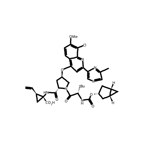 C=C[C@@H]1C[C@]1(NC(=O)[C@@H]1C[C@@H](Oc2cc(-c3cncc(C)n3)nc3c(Cl)c(OC)ccc23)CN1C(=O)[C@@H](NC(=O)O[C@@H]1C[C@@H]2C[C@@H]2C1)C(C)(C)C)C(=O)O